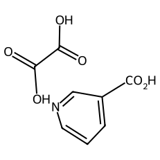 O=C(O)C(=O)O.O=C(O)c1cccnc1